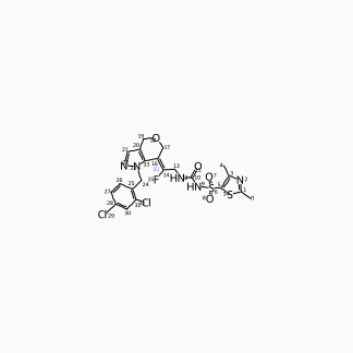 Cc1nc(C)c(S(=O)(=O)NC(=O)NC/C(F)=C2\COCc3cnn(Cc4ccc(Cl)cc4Cl)c32)s1